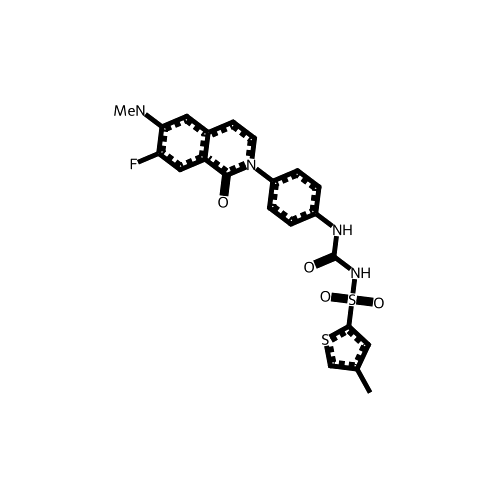 CNc1cc2ccn(-c3ccc(NC(=O)NS(=O)(=O)c4cc(C)cs4)cc3)c(=O)c2cc1F